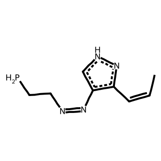 C/C=C\c1n[nH]cc1/N=N\CCP